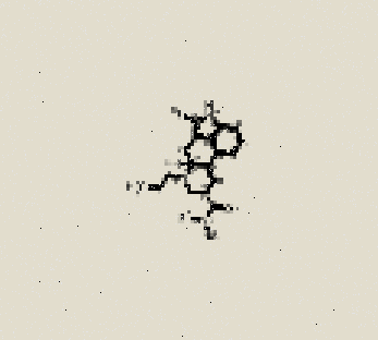 C=CCN1C[C@H](C(=O)N(CC)CC)C=C2c3cccc4[nH]c(F)c(c34)C[C@H]21